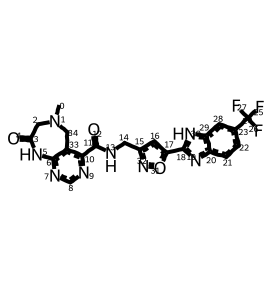 CN1CC(=O)Nc2ncnc(C(=O)NCc3cc(-c4nc5ccc(C(F)(F)F)cc5[nH]4)on3)c2C1